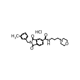 Cc1cccc(CN2C(=O)c3ccc(C(=O)NCCCN4CCOCC4)cc3C2=O)c1.Cl